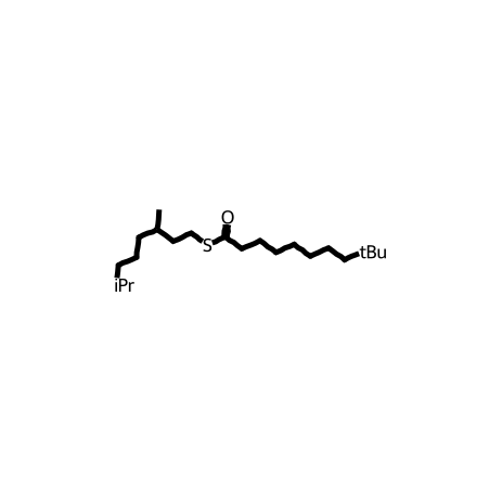 CC(C)CCCC(C)CCSC(=O)CCCCCCCC(C)(C)C